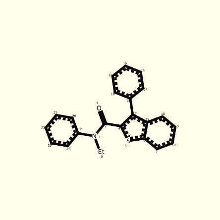 CCN(C(=O)c1sc2ccccc2c1-c1ccccc1)c1ccccc1